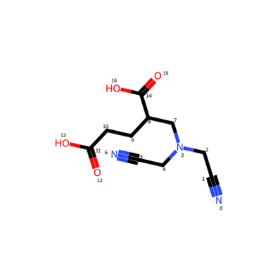 N#CCN(CC#N)CC(CCC(=O)O)C(=O)O